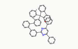 Cc1ccccc1C1(c2cccc(-c3ccccc3-c3cccc(-c4nc(-c5ccccc5)cc(-c5ccccc5)n4)c3)c2C)c2ccccc2-c2ccccc21